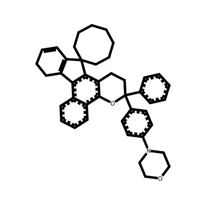 C1=CC2=C(CC1)c1c(c3c(c4ccccc14)OC(c1ccccc1)(c1ccc(N4CCOCC4)cc1)CC3)C21CCCCCCC1